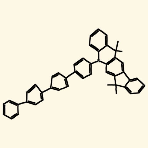 CC1(C)c2ccccc2-c2cc3c(cc21)N(c1ccc(-c2ccc(-c4ccc(-c5ccccc5)cc4)cc2)cc1)c1ccccc1C3(C)C